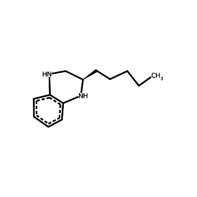 CCCCC[C@@H]1CNc2ccccc2N1